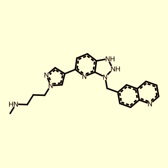 CNCCCn1cc(-c2ccc3c(n2)N(Cc2ccc4ncccc4c2)NN3)cn1